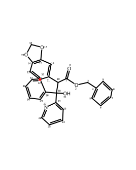 O=C(OCc1ccccc1)C(c1ccc2c(c1)OCO2)C(O)(c1ccccn1)c1ccccn1